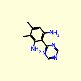 Cc1cc(N)c(-c2ncncn2)c(N)c1C